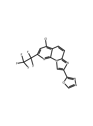 FC(F)(F)C(F)(F)c1cc(Cl)c2ccc3nc(-c4nnco4)cn3c2n1